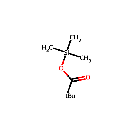 CC(C)(C)C(=O)O[Si](C)(C)C